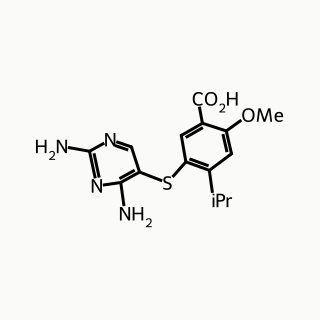 COc1cc(C(C)C)c(Sc2cnc(N)nc2N)cc1C(=O)O